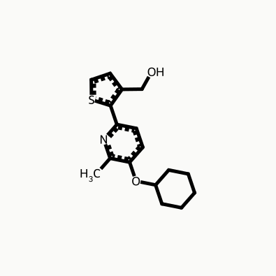 Cc1nc(-c2sccc2CO)ccc1OC1CCCCC1